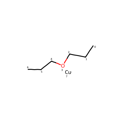 CCCOCCC.[Cu]